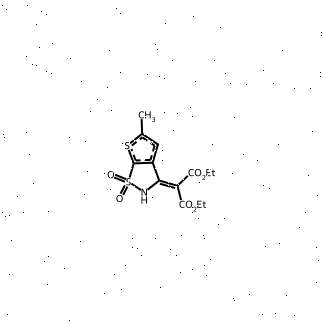 CCOC(=O)C(C(=O)OCC)=C1NS(=O)(=O)c2sc(C)cc21